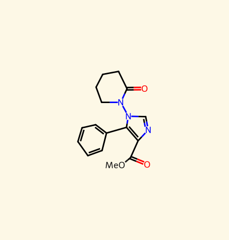 COC(=O)c1ncn(N2CCCCC2=O)c1-c1ccccc1